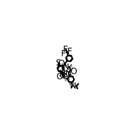 CSc1ccc(S(=O)(=O)C[C@@H]2C[C@H](N(C)C(C)C)CC[C@@H]2NC(=O)[C@H](C)NC(=O)c2cccc(C(F)(F)F)c2)cc1